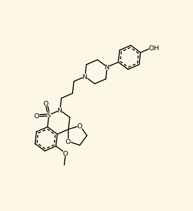 COc1cccc2c1C1(CN(CCCN3CCN(c4ccc(O)cc4)CC3)S2(=O)=O)OCCO1